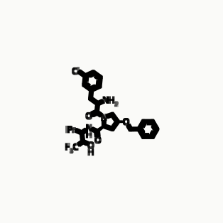 CC(C)C(NC(=O)[C@@H]1C[C@@H](OCc2ccccc2)CN1C(=O)C(N)Cc1cccc(Cl)c1)C(O)C(F)(F)F